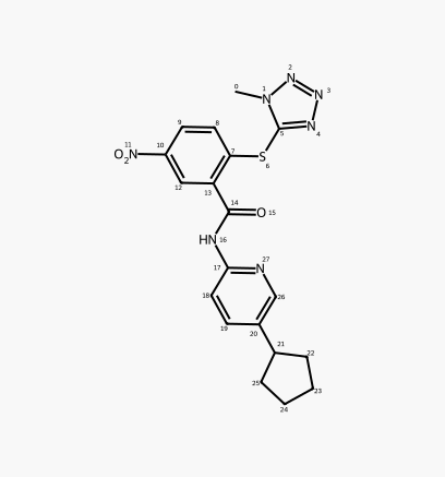 Cn1nnnc1Sc1ccc([N+](=O)[O-])cc1C(=O)Nc1ccc(C2CCCC2)cn1